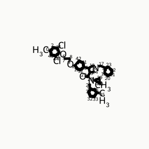 Cc1cc(Cl)c(OCCOc2ccc(C3CN(Cc4ccccc4)CC3C(=O)N(Cc3cccc(C)c3C)C3CC3)cc2)c(Cl)c1